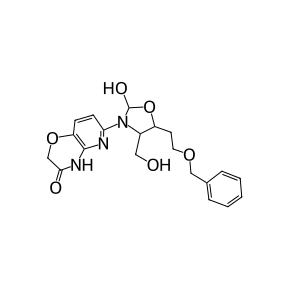 O=C1COc2ccc(N3C(O)OC(CCOCc4ccccc4)C3CO)nc2N1